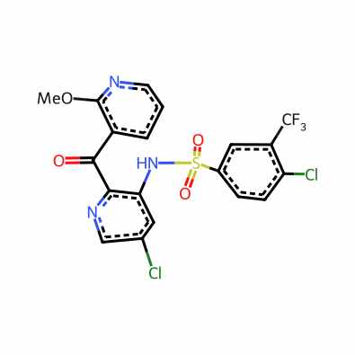 COc1ncccc1C(=O)c1ncc(Cl)cc1NS(=O)(=O)c1ccc(Cl)c(C(F)(F)F)c1